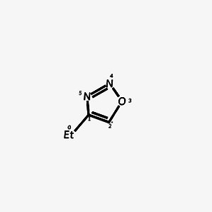 CCc1[c]onn1